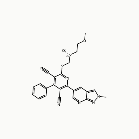 COCC[S@@+]([O-])CSc1nc(-c2cnc3nn(C)cc3c2)c(C#N)c(-c2ccccc2)c1C#N